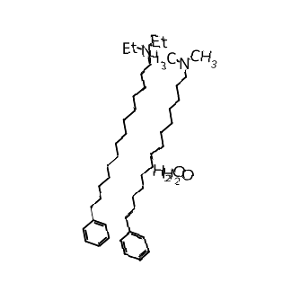 CCN(CC)CCCCCCCCCCCCCCc1ccccc1.CN(C)CCCCCCCCCCCCCCc1ccccc1.O.O